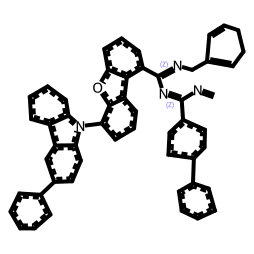 C=N/C(=N\C(=N/CC1=CCCC=C1)c1cccc2oc3c(-n4c5ccccc5c5cc(-c6ccccc6)ccc54)cccc3c12)c1ccc(-c2ccccc2)cc1